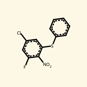 O=[N+]([O-])c1c(F)cc(Cl)cc1Sc1ccccc1